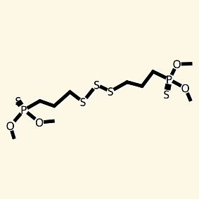 COP(=S)(CCCSSSCCCP(=S)(OC)OC)OC